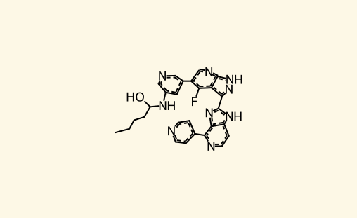 CCCCC(O)Nc1cncc(-c2cnc3[nH]nc(-c4nc5c(-c6ccncc6)nccc5[nH]4)c3c2F)c1